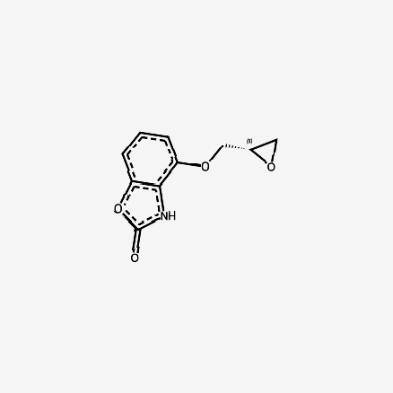 O=c1[nH]c2c(OC[C@@H]3CO3)cccc2o1